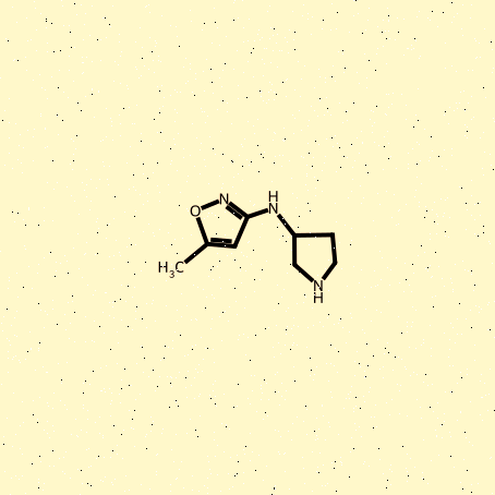 Cc1cc(NC2CCNC2)no1